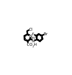 O=C(O)c1ccc(CCl)nc1Nc1ccc(Br)cc1F